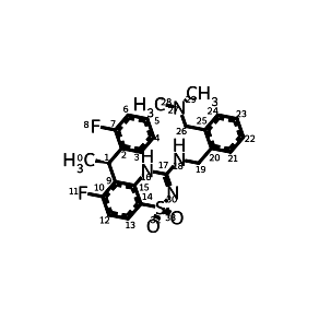 C[C@@H](c1ccccc1F)c1c(F)ccc2c1NC(NCc1ccccc1CN(C)C)=NS2(=O)=O